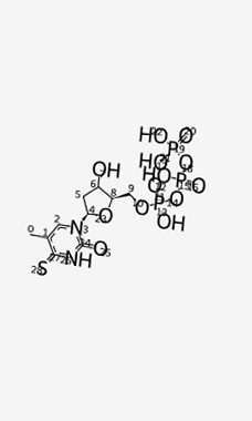 Cc1cn([C@H]2CC(O)[C@@H](COP(=O)(O)OP(=O)(O)OP(=O)(O)O)O2)c(=O)[nH]c1=S